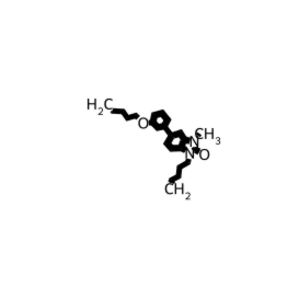 C=CCCCOc1cccc(-c2ccc3c(c2)n(C)c(=O)n3CCCC=C)c1